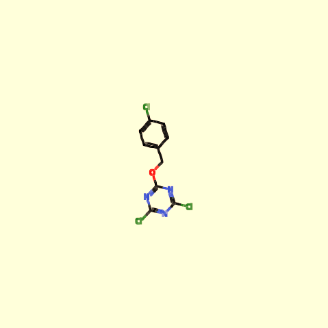 Clc1ccc(COc2nc(Cl)nc(Cl)n2)cc1